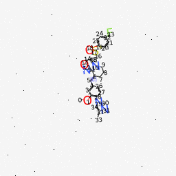 COc1cc(/C=C2\CCCN3C2=NOC[C@@H]3C[S+]([O-])c2ccc(F)cc2)ccc1-n1cnc(C)c1